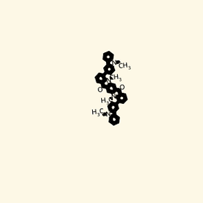 CCn1c2ccccc2c2cc(-c3cccc4c(=O)c5cc6c(cc5n(C)c34)c(=O)c3cccc(-c4ccc5c(c4)c4ccccc4n5CC)c3n6C)ccc21